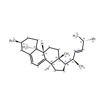 CC(=O)O[C@H]1CC[C@]2(C)C(=CC=C3[C@H]2CC[C@]2(C)[C@@H]([C@H](C)/C=C/[C@H](C)C(C)C)CC[C@@H]32)C1